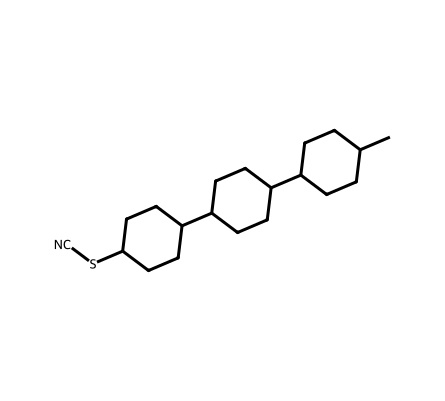 CC1CCC(C2CCC(C3CCC(SC#N)CC3)CC2)CC1